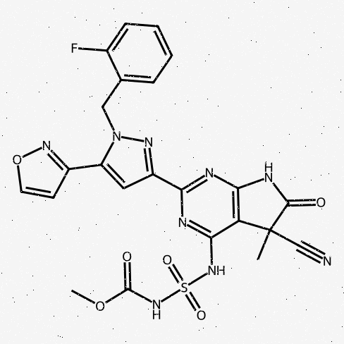 COC(=O)NS(=O)(=O)Nc1nc(-c2cc(-c3ccon3)n(Cc3ccccc3F)n2)nc2c1C(C)(C#N)C(=O)N2